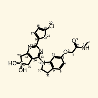 CNC(=O)COc1ccc2c(c1)N(c1nc(-c3ccc(Cl)s3)nc3c1CS(O)(O)C3)CC2